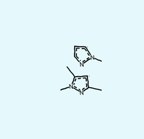 Cc1[c]c(C)n(C)n1.Cn1[c]ccn1